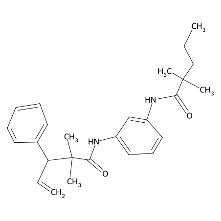 C=CC(c1ccccc1)C(C)(C)C(=O)Nc1cccc(NC(=O)C(C)(C)CCC)c1